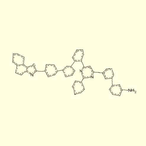 Nc1cccc(-c2cccc(-c3cc(-c4ccccc4-c4cccc(-c5ccc(-c6nc7ccc8ccccc8c7o6)cc5)c4)nc(-c4ccccc4)n3)c2)c1